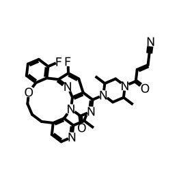 CC(C)c1nccc2c1-n1c(=O)nc(N3CC(C)N(C(=O)/C=C/C#N)CC3C)c3cc(F)c(nc31)-c1c(F)cccc1OCCC2